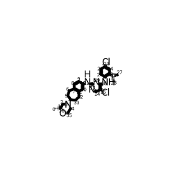 C[C@@H]1CN(C2CCc3ccc(Nc4ncc(Cl)c(Nc5ccc(Cl)cc5P(C)C)n4)cc3CC2)CCO1